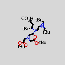 CC(C)(C)CN(CCN(CCN(CC(=O)OC(C)(C)C)CC(=O)OC(C)(C)C)[C@@H](CCC(=O)O)C(C)(C)C)CC(C)(C)C